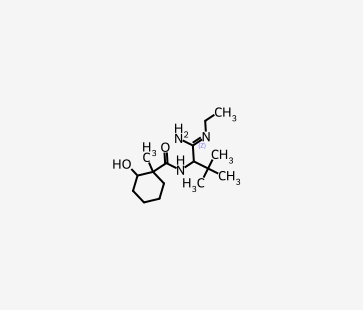 CC/N=C(\N)C(NC(=O)C1(C)CCCCC1O)C(C)(C)C